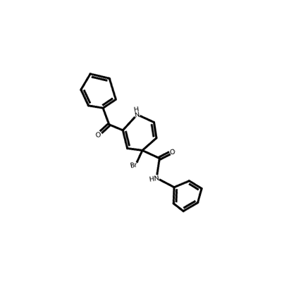 O=C(C1=CC(Br)(C(=O)Nc2ccccc2)C=CN1)c1ccccc1